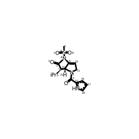 CC(C)[C@H]1C(=O)N(S(C)(=O)=O)C2=CCN(C(=O)c3ccc[nH]3)[C@@H]21